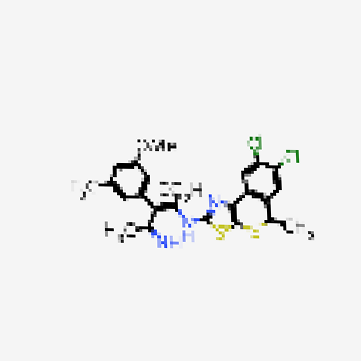 COc1cc(/C(C(C)=N)=C(/Nc2nc3c(s2)SC(C)c2cc(Cl)c(Cl)cc2-3)C(=O)O)cc(C(F)(F)F)c1